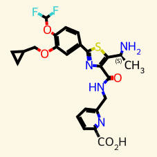 C[C@H](N)c1sc(-c2ccc(OC(F)F)c(OCC3CC3)c2)nc1C(=O)NCc1cccc(C(=O)O)n1